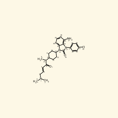 CN(C)C/C=C/C(=O)N(C)C1CCC(n2c(=O)n(-c3ccc(Cl)cc3)c3c(N)ncnc32)CC1